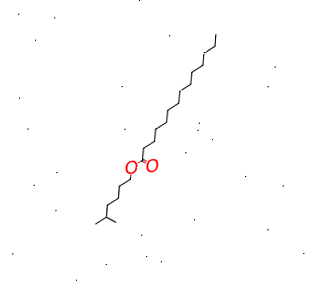 CCCCCCCCCCCCCC(=O)OCCCCC(C)C